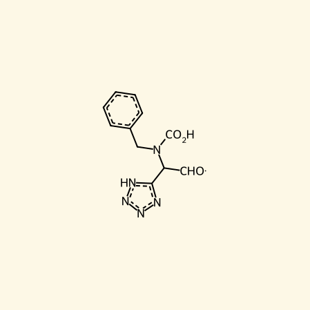 O=[C]C(c1nnn[nH]1)N(Cc1ccccc1)C(=O)O